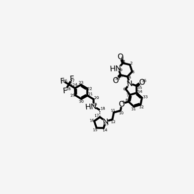 O=C1CCC(N2Cc3c(OCCCN4CCC[C@@H]4CNCc4ccc(C(F)(F)F)cc4)cccc3C2=O)C(=O)N1